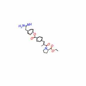 CCOC(=O)C1CCCN1C(=O)/C(C)=C/c1ccc(C(=O)Oc2ccc(CC(=N)N)cc2)cc1